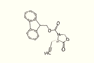 C#CC[C@H]1C(=O)OCN1C(=O)OCC1c2ccccc2-c2ccccc21